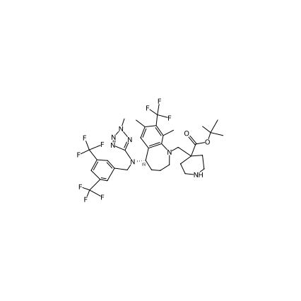 Cc1cc2c(c(C)c1C(F)(F)F)N(CC1(C(=O)OC(C)(C)C)CCNCC1)CCC[C@@H]2N(Cc1cc(C(F)(F)F)cc(C(F)(F)F)c1)c1nnn(C)n1